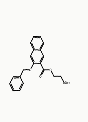 CCCCCCCCCCCCOC(=O)c1cc2ccccc2cc1OCc1ccccc1